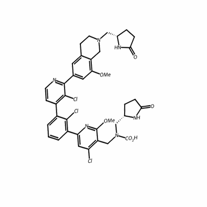 COc1cc(-c2nccc(-c3cccc(-c4cc(Cl)c(CN(C[C@@H]5CCC(=O)N5)C(=O)O)c(OC)n4)c3Cl)c2Cl)cc2c1CN(C[C@@H]1CCC(=O)N1)CC2